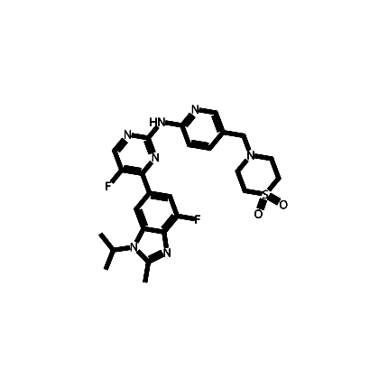 Cc1nc2c(F)cc(-c3nc(Nc4ccc(CN5CCS(=O)(=O)CC5)cn4)ncc3F)cc2n1C(C)C